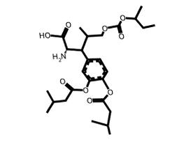 CCC(C)OC(=O)OCC(C)C(c1ccc(OC(=O)CC(C)C)c(OC(=O)CC(C)C)c1)[C@H](N)C(=O)O